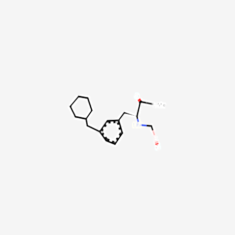 COC(=O)[C@H](Cc1cccc(CC2CCCCC2)c1)NCB=O